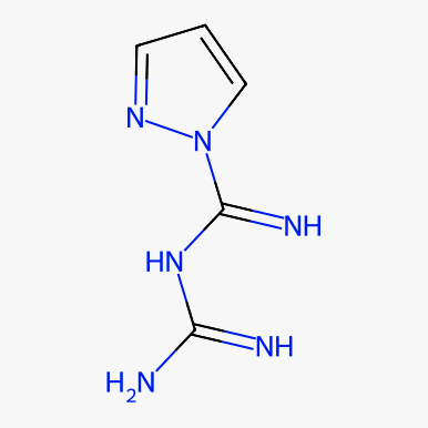 N=C(N)NC(=N)n1cccn1